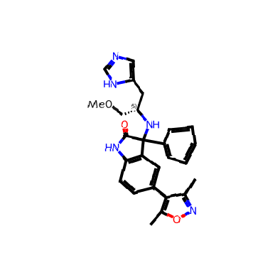 COC[C@H](Cc1cnc[nH]1)NC1(c2ccccc2)C(=O)Nc2ccc(-c3c(C)noc3C)cc21